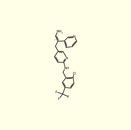 N/C=C(/Cc1ccc(NCc2cc(C(F)(F)F)ccc2Cl)nc1)c1cccnc1